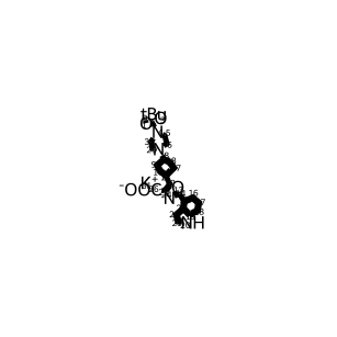 CC(C)(C)OC(=O)N1CCN(c2ccc(-c3oc(-c4cccc5[nH]ccc45)nc3C(=O)[O-])cc2)CC1.[K+]